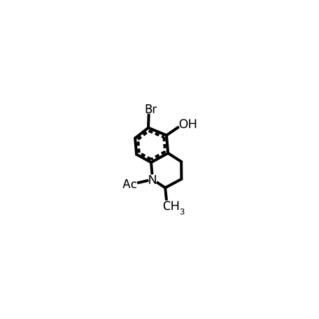 CC(=O)N1c2ccc(Br)c(O)c2CCC1C